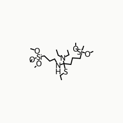 CCSC(CCC[Si](C)(OC)OC)(NCCC[Si](OC)(OC)OC)N(CC)CC